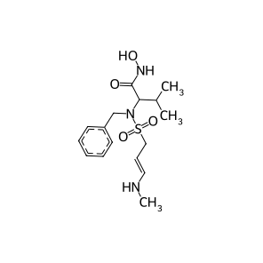 CNC=CCS(=O)(=O)N(Cc1ccccc1)C(C(=O)NO)C(C)C